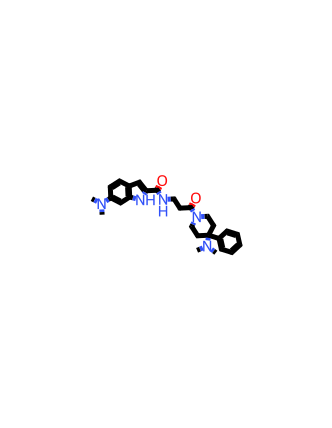 CN(C)c1ccc2cc(C(=O)NCCC(=O)N3CCC(c4ccccc4)(N(C)C)CC3)[nH]c2c1